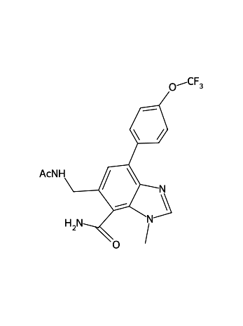 CC(=O)NCc1cc(-c2ccc(OC(F)(F)F)cc2)c2ncn(C)c2c1C(N)=O